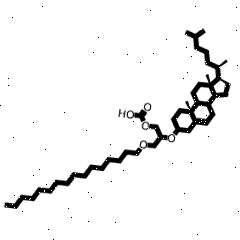 CCCCCCCCCCCCCCCCOCC(COC(=O)O)OC1CC[C@@]2(C)C(=CCC3C2CC[C@@]2(C)C3CC[C@@H]2[C@H](C)CCCC(C)C)C1